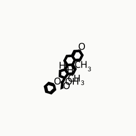 C[C@]12CCC(=O)C=C1CC[C@@H]1C2=CC[C@@]2(C)[C@H]1CC[C@]2(O)C1(Oc2ccccc2)CO1